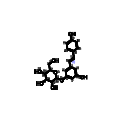 OCC1O[C@@H](Oc2cc(O)cc(/C=C/c3ccc(O)cc3)c2)C(O)C(O)[C@H]1O